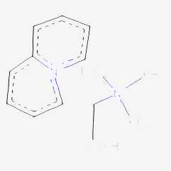 C[N+](C)(C)CC(=O)O.c1cc[n+]2ccccc2c1